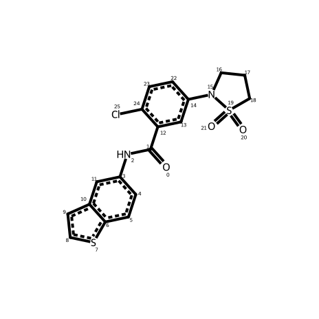 O=C(Nc1ccc2sccc2c1)c1cc(N2CCCS2(=O)=O)ccc1Cl